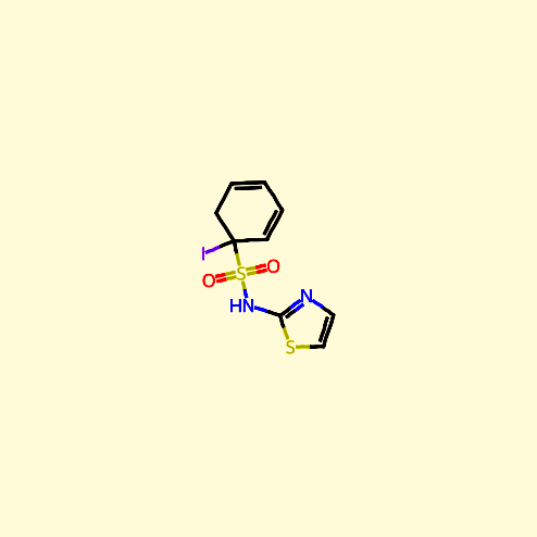 O=S(=O)(Nc1nccs1)C1(I)C=CC=CC1